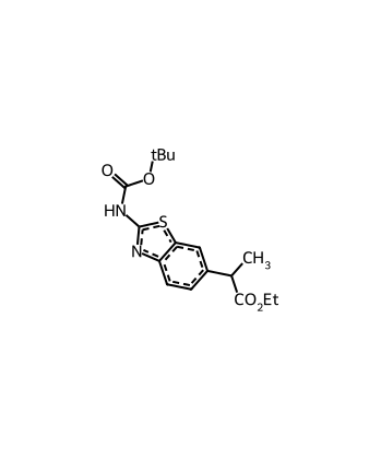 CCOC(=O)C(C)c1ccc2nc(NC(=O)OC(C)(C)C)sc2c1